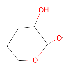 [O]C1OCCCC1O